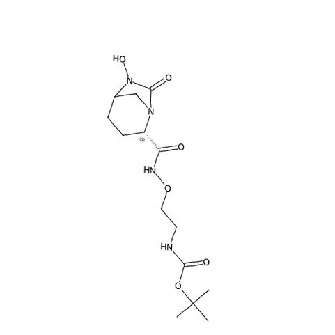 CC(C)(C)OC(=O)NCCONC(=O)[C@@H]1CCC2CN1C(=O)N2O